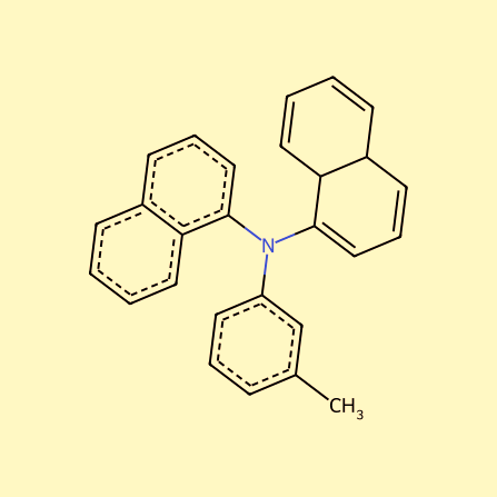 Cc1cccc(N(C2=CC=CC3C=CC=CC23)c2cccc3ccccc23)c1